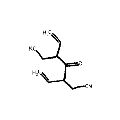 C=CC(CC#N)C(=O)C(C=C)CC#N